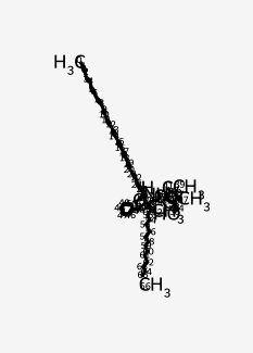 CC#CC#CC#CC#CC#CC#CC#CC#CC#CC#CC#CC#CC(=O)N[C@@H](CO[C@H]1OC(CO)[C@H](C)[C@H](C)C1C)[C@H](OCc1ccccc1)[C@H](C)CCCCCCCCCCCCCC